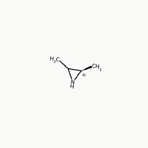 CC1N[C@@H]1C